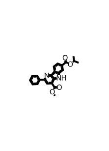 COC(=O)c1cc(-c2ccccc2)nc2c1[nH]c1cc(C(=O)OC(C)C)ccc12